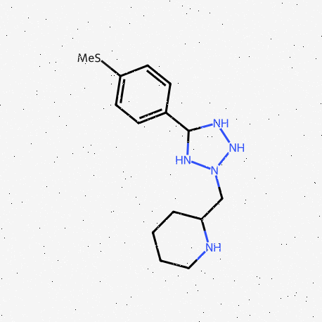 CSc1ccc(C2NNN(CC3CCCCN3)N2)cc1